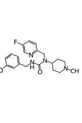 CN1CCC(N(Cc2ccc(F)cn2)C(=O)NCc2cccc(O)c2)CC1